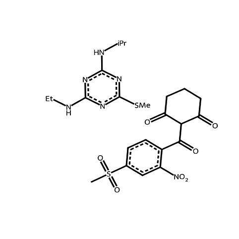 CCNc1nc(NC(C)C)nc(SC)n1.CS(=O)(=O)c1ccc(C(=O)C2C(=O)CCCC2=O)c([N+](=O)[O-])c1